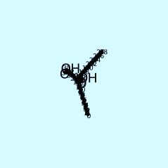 CCCCCCCCCCCCCCC(CCCCCCCCCCCCCC)(CCCCC(=O)O)C(=O)O